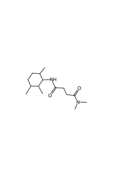 CC1CCC(C)C(NC(=O)CCC(=O)N(C)C)C1C